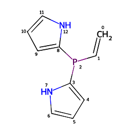 C=CP(c1ccc[nH]1)c1ccc[nH]1